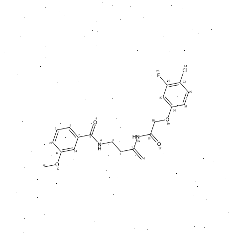 C=C(CCNC(=O)c1cccc(OC)c1)NC(=O)COc1ccc(Cl)c(F)c1